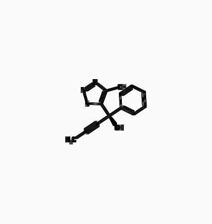 CC#C[C@@](O)(c1ccccc1)c1snnc1C